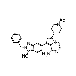 CC(=O)N1CCC(c2cc(-c3ccc4c(C#N)n(Cc5ccccc5)nc4c3)c3c(N)ncnn23)CC1